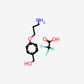 NCCCOc1ccc(CO)cc1.O=C(O)C(F)(F)F